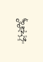 CC(C)OC(=O)Oc1cn(-c2cccnc2)cn1